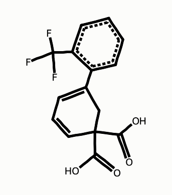 O=C(O)C1(C(=O)O)C=CC=C(c2ccccc2C(F)(F)F)C1